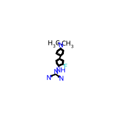 CN(C)c1ccc(-c2ccc(NN=C(C#N)C#N)c(F)c2)cc1